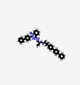 C=C/C(=C\C=C(/C)C(C)(C)c1ccc(-c2ccc(C3=CCCC=C3)cc2)cc1)C/N=C(\N=C(/N=C)c1ccc(-c2ccccc2)cc1)C1=CCCC=C1